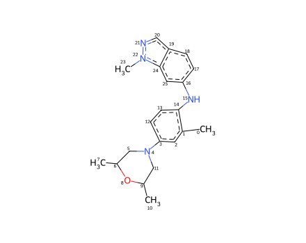 Cc1cc(N2CC(C)OC(C)C2)ccc1Nc1ccc2cnn(C)c2c1